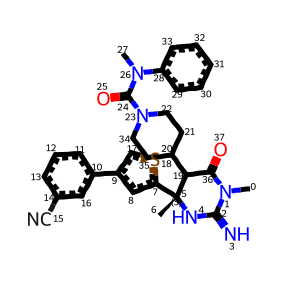 CN1C(=N)N[C@](C)(c2cc(-c3cccc(C#N)c3)cs2)C(C2CCN(C(=O)N(C)c3ccccc3)CC2)C1=O